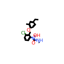 CCc1ccc(OCc2c(Cl)cccc2N(O)C(=O)NC)c(C)c1